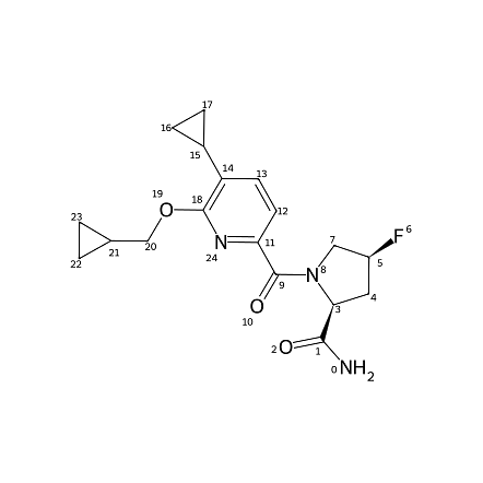 NC(=O)[C@@H]1C[C@H](F)CN1C(=O)c1ccc(C2CC2)c(OCC2CC2)n1